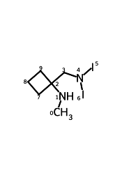 CNC1(CN(I)I)CCC1